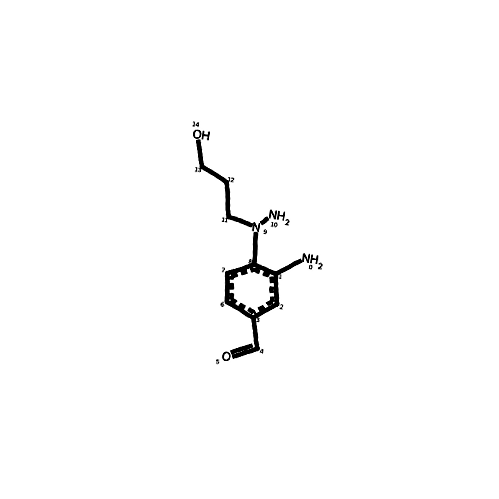 Nc1cc(C=O)ccc1N(N)CCCO